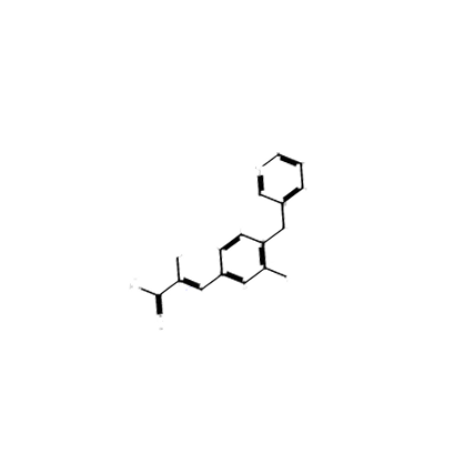 C/C(=C\c1ccc(Cc2cccnc2)c(C)c1)C(=O)O